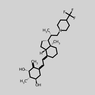 C=C1/C(=C\C=C2/CCC[C@]3(C)[C@@H]([C@H](C)CN4CCC(C(F)(F)F)CC4)CC[C@@H]23)C[C@@H](O)[C@H](C)[C@@H]1O